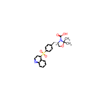 CC1(C)OC[C@H](Cc2ccc(S(=O)(=O)c3ccnc4ccccc34)cc2)N1C(=O)O